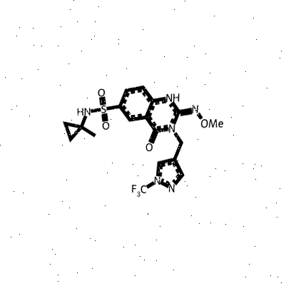 CON=c1[nH]c2ccc(S(=O)(=O)NC3(C)CC3)cc2c(=O)n1Cc1cnn(C(F)(F)F)c1